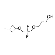 CC1CC(OCC(F)(F)COCCCO)C1